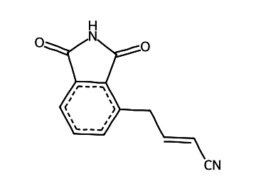 N#CC=CCc1cccc2c1C(=O)NC2=O